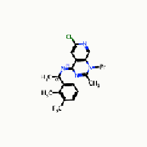 Cc1c([C@@H](C)/N=c2\nc(C)n(C(C)C)c3cnc(Cl)cc23)cccc1C(F)(F)F